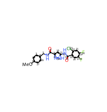 COc1ccc(CNC(=O)c2cc(NC(=O)c3cc(F)c(F)cc3Cl)[nH]n2)cc1